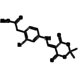 COC(=O)Cc1ccc(NC=C2C(=O)OC(C)(C)OC2=O)cc1Br